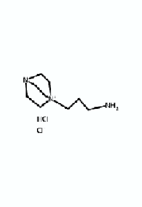 Cl.NCCC[N+]12CCN(CC1)CC2.[Cl-]